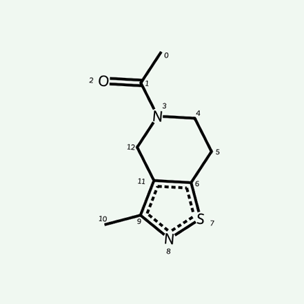 CC(=O)N1CCc2snc(C)c2C1